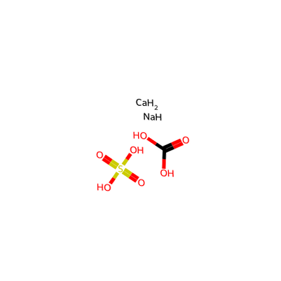 O=C(O)O.O=S(=O)(O)O.[CaH2].[NaH]